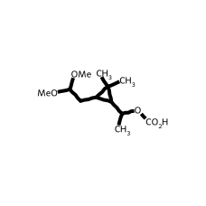 COC(CC1C(C(C)OC(=O)O)C1(C)C)OC